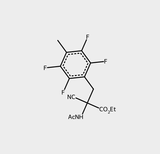 CCOC(=O)C(C#N)(Cc1c(F)c(F)c(C)c(F)c1F)NC(C)=O